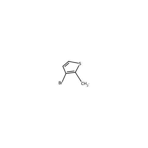 [CH2]c1sccc1Br